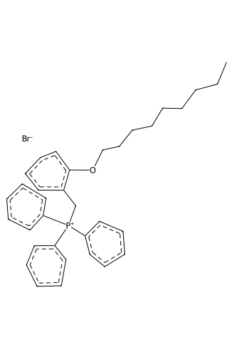 CCCCCCCCCOc1ccccc1C[P+](c1ccccc1)(c1ccccc1)c1ccccc1.[Br-]